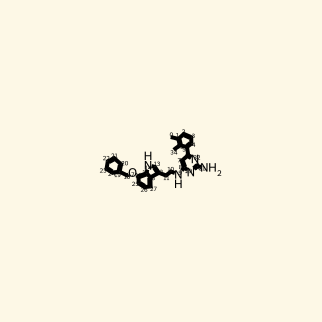 Cc1cccc(-c2cc(NCCc3c[nH]c4c(OCc5ccccc5)cccc34)nc(N)n2)c1C